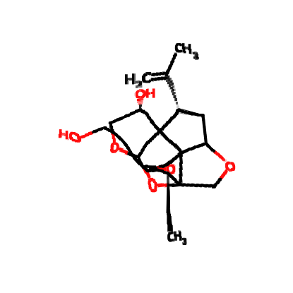 C=C(C)[C@@H]1CC2OCC34OC5OC[C@H](O)C51C23CC(CO)OC[C@H]4C